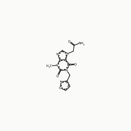 Cn1c(=O)n(Cc2ccon2)c(=O)c2c1ncn2CC(N)=O